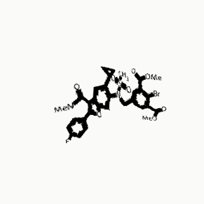 CNC(=O)c1c(-c2ccc(F)cc2)oc2cc(N(Cc3cc(C(=O)OC)c(Br)c(C(=O)OC)c3)S(C)(=O)=O)c(C3CC3)cc12